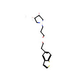 O[C@@H]1CN(CCCOCCc2ccc3sccc3c2)C[C@@H]1O